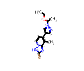 CCOC(C)n1cc(C2=C(C)C3=NC(Br)NN3C=C2)cn1